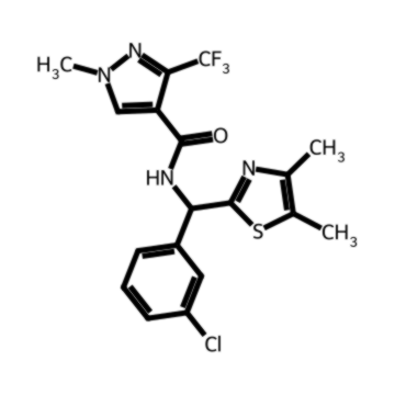 Cc1nc(C(NC(=O)c2cn(C)nc2C(F)(F)F)c2cccc(Cl)c2)sc1C